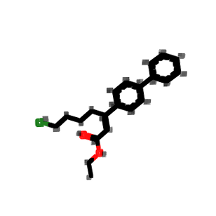 CCOC(=O)C=C(CCCCCl)c1ccc(-c2ccccc2)cc1